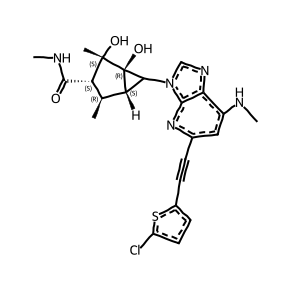 CNC(=O)[C@H]1[C@H](C)[C@H]2C(n3cnc4c(NC)cc(C#Cc5ccc(Cl)s5)nc43)[C@@]2(O)[C@@]1(C)O